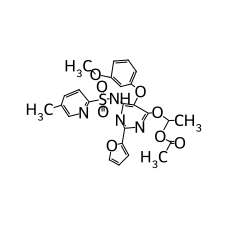 COc1cccc(Oc2c(NS(=O)(=O)c3ccc(C)cn3)nc(-c3ccco3)nc2OC(C)OC(C)=O)c1